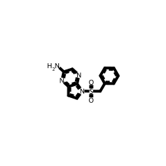 Nc1cnc2c(ccn2S(=O)(=O)Cc2ccccc2)n1